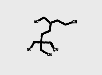 N#CCCN(CC#N)CCC(CC#N)(CC#N)CC#N